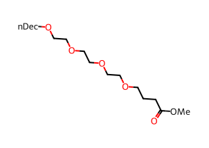 CCCCCCCCCCOCCOCCOCCOCCCC(=O)OC